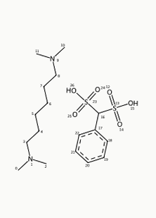 CN(C)CCCCCCN(C)C.O=S(=O)(O)C(c1ccccc1)S(=O)(=O)O